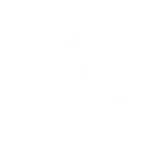 Cc1ccc(-c2oncc2C(=O)N2CC[C@H](c3cccnc3)C2)cc1